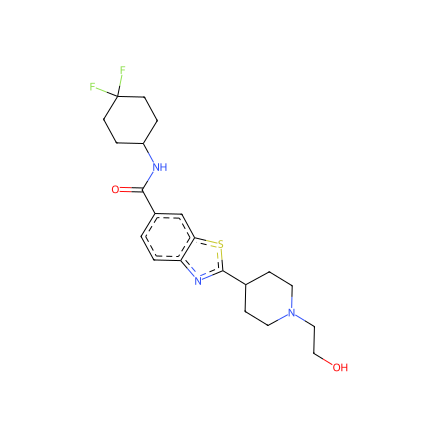 O=C(NC1CCC(F)(F)CC1)c1ccc2nc(C3CCN(CCO)CC3)sc2c1